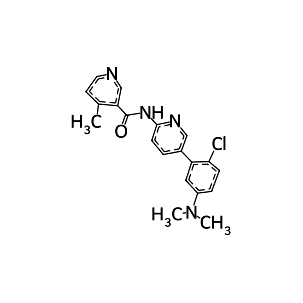 Cc1ccncc1C(=O)Nc1ccc(-c2cc(N(C)C)ccc2Cl)cn1